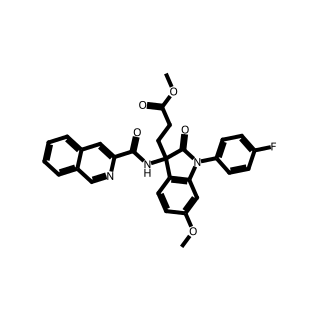 COC(=O)CCC1(NC(=O)c2cc3ccccc3cn2)C(=O)N(c2ccc(F)cc2)c2cc(OC)ccc21